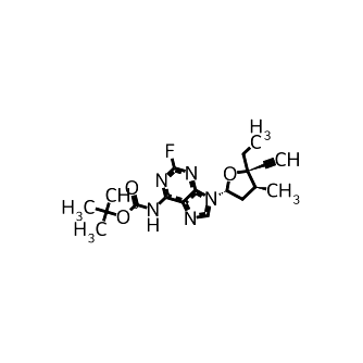 C#C[C@]1(CC)O[C@@H](n2cnc3c(NC(=O)OC(C)(C)C)nc(F)nc32)C[C@@H]1C